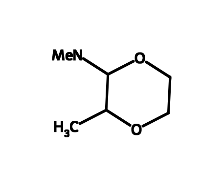 CNC1OCCOC1C